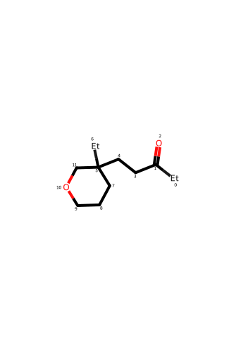 CCC(=O)CCC1(CC)CCCOC1